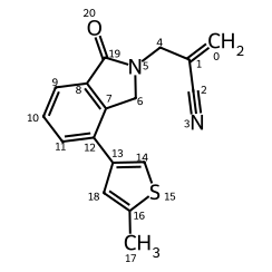 C=C(C#N)CN1Cc2c(cccc2-c2csc(C)c2)C1=O